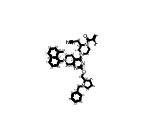 C=C(F)C(=O)N1CCN(c2nc(OCC3CCCN3Cc3ccccc3)nc3c2CCN(c2cccc4cccc(C)c24)C3)CC1CC#N